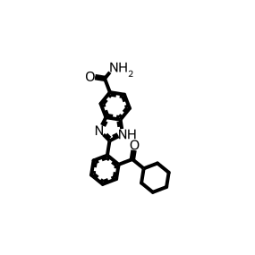 NC(=O)c1ccc2[nH]c(-c3ccccc3C(=O)C3CCCCC3)nc2c1